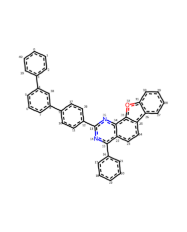 c1ccc(-c2cccc(-c3ccc(-c4nc(-c5ccccc5)c5ccc6c7ccccc7oc6c5n4)cc3)c2)cc1